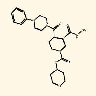 O=C(NO)[C@H]1CN(C(=O)OC2CCOCC2)CC[C@@H]1C(=O)N1CCN(c2ccccc2)CC1